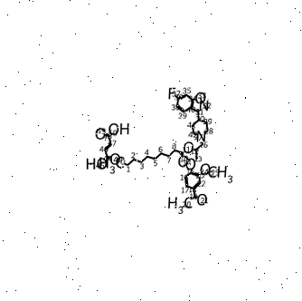 CCCCCCCCCC(=O)OC(COc1ccc(C(C)=O)cc1OC)CN1CCC(c2noc3cc(F)ccc23)CC1.O=C(O)/C=C/C(=O)O